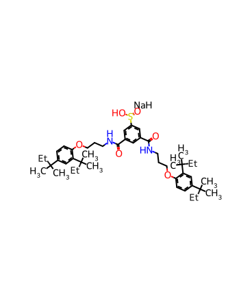 CCC(C)(C)c1ccc(OCCCNC(=O)c2cc(C(=O)NCCCOc3ccc(C(C)(C)CC)cc3C(C)(C)CC)cc(S(=O)O)c2)c(C(C)(C)CC)c1.[NaH]